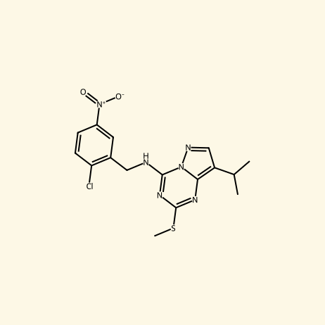 CSc1nc(NCc2cc([N+](=O)[O-])ccc2Cl)n2ncc(C(C)C)c2n1